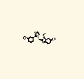 CCn1c(Cn2ccnc2-c2cccc(Cl)c2)nc2ccc(Cl)cc21